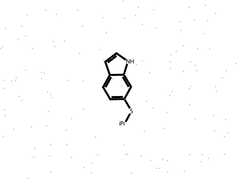 CC(C)Sc1ccc2cc[nH]c2c1